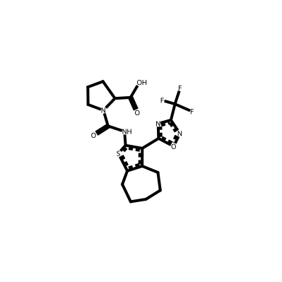 O=C(O)C1CCCN1C(=O)Nc1sc2c(c1-c1nc(C(F)(F)F)no1)CCCCC2